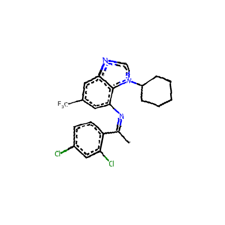 CC(=Nc1cc(C(F)(F)F)cc2ncn(C3CCCCC3)c12)c1ccc(Cl)cc1Cl